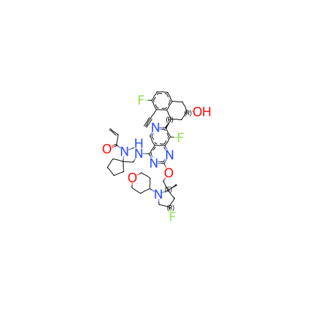 C#Cc1c(F)ccc2c1[C@H](c1ncc3c(NCC4(N(C)C(=O)C=C)CCCC4)nc(OC[C@]4(C)C[C@@H](F)CN4C4CCOCC4)nc3c1F)C[C@@H](O)C2